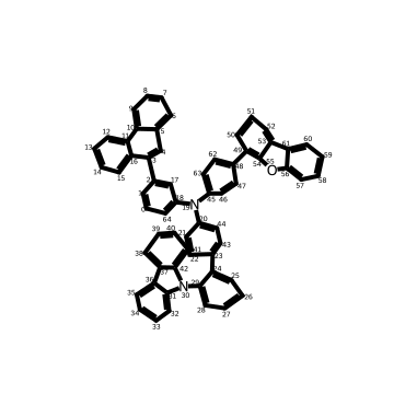 c1cc(-c2cc3ccccc3c3ccccc23)cc(N(c2ccc(-c3ccccc3-n3c4ccccc4c4ccccc43)cc2)c2ccc(-c3cccc4c3oc3ccccc34)cc2)c1